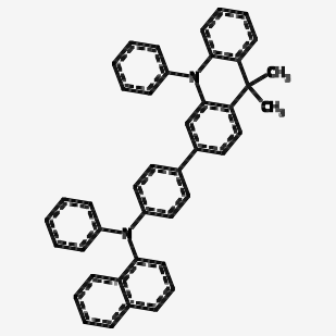 CC1(C)c2ccccc2N(c2ccccc2)c2cc(-c3ccc(N(c4ccccc4)c4cccc5ccccc45)cc3)ccc21